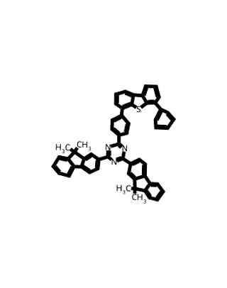 CC1(C)c2ccccc2-c2ccc(-c3nc(-c4ccc(-c5cccc6c5sc5c(-c7ccccc7)cccc56)cc4)nc(-c4ccc5c(c4)C(C)(C)c4ccccc4-5)n3)cc21